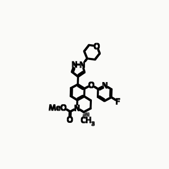 COC(=O)N1c2ccc(-c3cnn(C4CCOCC4)c3)c(Oc3ccc(F)cn3)c2CC[C@@H]1C